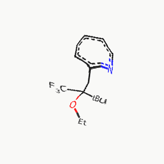 CCOC(c1ccccn1)(C(C)(C)C)C(F)(F)F